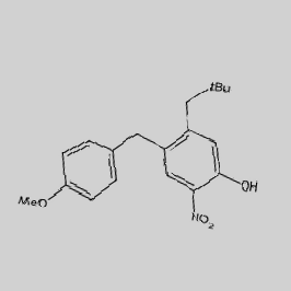 COc1ccc(Cc2cc([N+](=O)[O-])c(O)cc2CC(C)(C)C)cc1